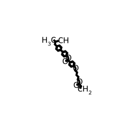 C#CC(C)Cc1ccc(-c2ccc(OC(=O)c3ccc(OCCCCCOC(=O)C=C)cc3)cc2)cc1